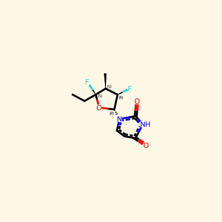 CC[C@@]1(F)O[C@@H](n2ccc(=O)[nH]c2=O)[C@H](F)[C@@H]1C